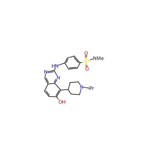 CNS(=O)(=O)c1ccc(Nc2ncc3ccc(O)c(C4CCN(C(C)C)CC4)c3n2)cc1